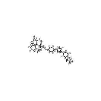 CC1CS/C(=N\N=C\c2ccc(-c3ncn(-c4ccc(OC(F)(F)F)cc4)n3)cc2)N1c1c(Cl)cccc1C(F)(F)F